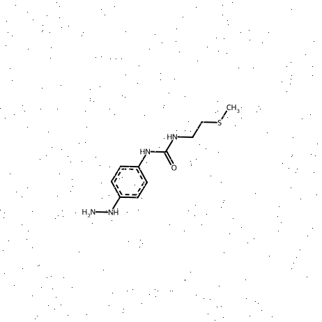 CSCCNC(=O)Nc1ccc(NN)cc1